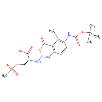 Cc1c(NC(=O)OC(C)(C)C)ccc2nc(N[C@@H](CCS(C)(=O)=O)C(=O)O)oc(=O)c12